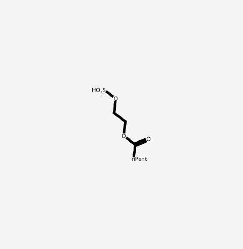 CCCCCC(=O)OCCOS(=O)(=O)O